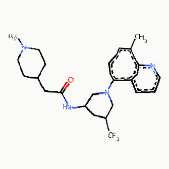 Cc1ccc(N2CC(NC(=O)CC3CCN(C)CC3)CC(C(F)(F)F)C2)c2cccnc12